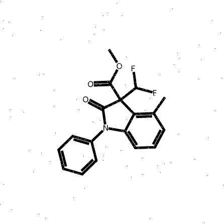 COC(=O)C1(C(F)F)C(=O)N(c2ccccc2)c2cccc(C)c21